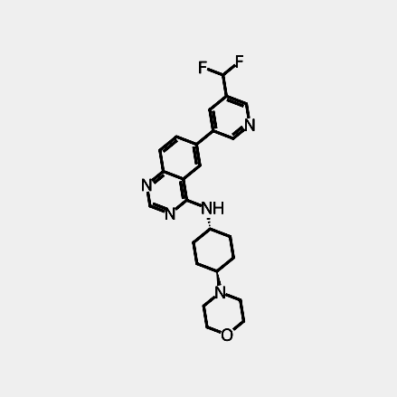 FC(F)c1cncc(-c2ccc3ncnc(N[C@H]4CC[C@H](N5CCOCC5)CC4)c3c2)c1